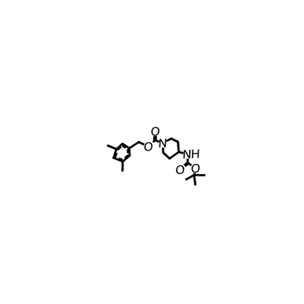 Cc1cc(C)cc(COC(=O)N2CCC(NC(=O)OC(C)(C)C)CC2)c1